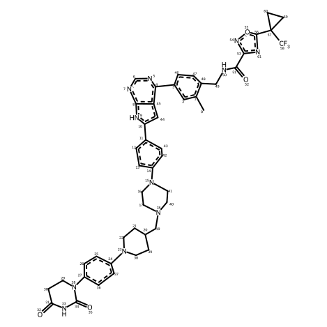 Cc1cc(-c2ncnc3[nH]c(-c4ccc(N5CCN(CC6CCN(c7ccc(N8CCC(=O)NC8=O)cc7)CC6)CC5)cc4)cc23)ccc1CNC(=O)c1noc(C2(C(F)(F)F)CC2)n1